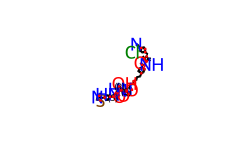 Cc1ncsc1-c1ccc([C@H](C)NC(=O)C2C[C@@H](O)CN2C(=O)[C@@H](NC(=O)CCCCCCc2ccc(C(=O)N[C@H]3C(C)(C)[C@H](Cc4ccc(C#N)c(Cl)c4)C3(C)C)cc2)C(C)(C)C)cc1